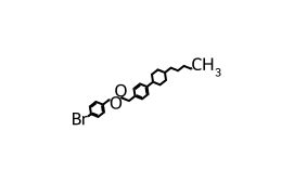 CCCCCC1CCC(c2ccc(CC(=O)OCc3ccc(Br)cc3)cc2)CC1